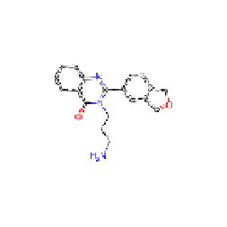 NCCCn1c(-c2ccc3cocc3c2)nc2ccccc2c1=O